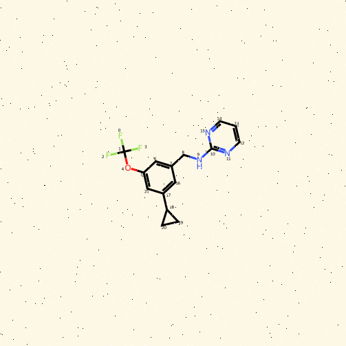 FC(F)(F)Oc1cc(CNc2nc[c]cn2)cc(C2CC2)c1